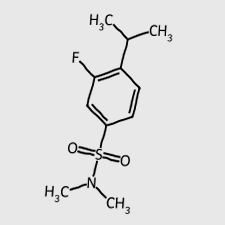 CC(C)c1ccc(S(=O)(=O)N(C)C)cc1F